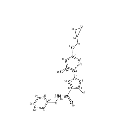 Cc1cc(-n2ccc(OCC3CC3)cc2=O)sc1C(=O)NCc1ccccc1